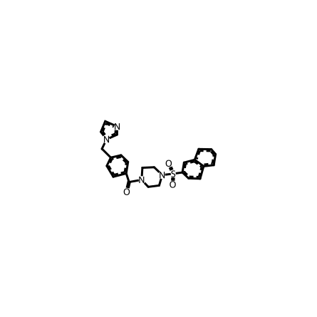 O=C(c1ccc(Cn2ccnc2)cc1)N1CCN(S(=O)(=O)c2ccc3ccccc3c2)CC1